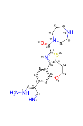 N=C/C(=C\NN)c1ccc2c(c1)OCCc1sc(C(=O)N3CCCNCC3)nc1-2